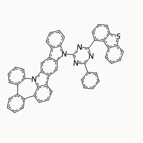 c1ccc(-c2nc(-c3cccc4sc5ccccc5c34)nc(-n3c4ccccc4c4cc5c(cc43)c3cccc4c3n5-c3ccccc3-c3ccccc3-4)n2)cc1